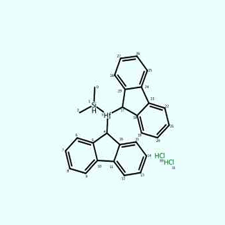 C[SiH](C)[Hf]([CH]1c2ccccc2-c2ccccc21)[CH]1c2ccccc2-c2ccccc21.Cl.Cl